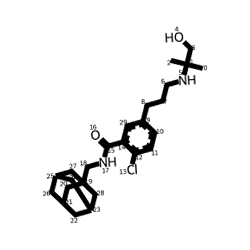 CC(C)(CO)NCCCc1ccc(Cl)c(C(=O)NCC23CC4CC(CC(C4)C2)C3)c1